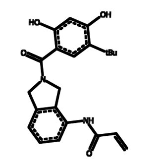 C=CC(=O)Nc1cccc2c1CN(C(=O)c1cc(C(C)(C)C)c(O)cc1O)C2